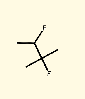 CC(F)C(C)(C)F